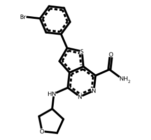 NC(=O)c1nnc(NC2CCOC2)c2cc(-c3cccc(Br)c3)sc12